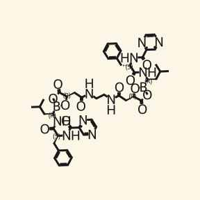 CC(C)C[C@H](NC(=O)[C@H](Cc1ccccc1)NC(=O)c1cnccn1)B1OC(=O)[C@@H](CC(=O)NCCNC(=O)C[C@H]2OB([C@H](CC(C)C)NC(=O)[C@H](Cc3ccccc3)NC(=O)c3cnccn3)OC2=O)O1